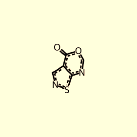 O=c1ocnc2sncc12